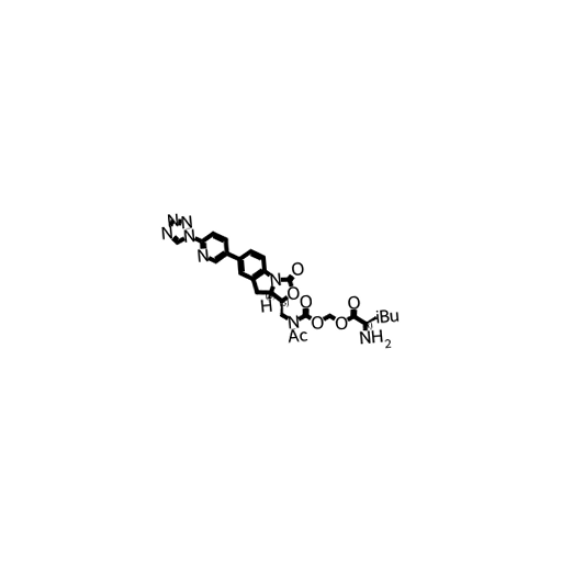 CCC(C)[C@@H](N)C(=O)OCOC(=O)N(C[C@@H]1OC(=O)N2c3ccc(-c4ccc(-n5cnnn5)nc4)cc3C[C@@H]12)C(C)=O